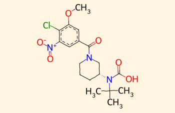 COc1cc(C(=O)N2CCC[C@@H](N(C(=O)O)C(C)(C)C)C2)cc([N+](=O)[O-])c1Cl